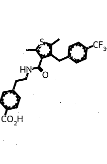 Cc1sc(C)c(C(=O)NCCc2ccc(C(=O)O)cc2)c1Cc1ccc(C(F)(F)F)cc1